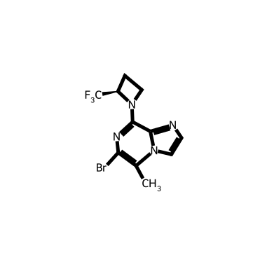 Cc1c(Br)nc(N2CC[C@@H]2C(F)(F)F)c2nccn12